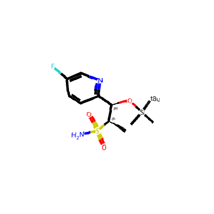 C[C@H]([C@H](O[Si](C)(C)C(C)(C)C)c1ccc(F)cn1)S(N)(=O)=O